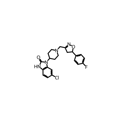 O=c1[nH]c2ccc(Cl)cc2n1C1CCN(CC2=NOC(c3ccc(F)cc3)C2)CC1